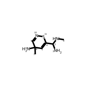 CNC(N)C1=CC(C)(N)C=NS1